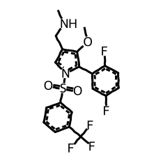 CNCc1cn(S(=O)(=O)c2cccc(C(F)(F)F)c2)c(-c2cc(F)ccc2F)c1OC